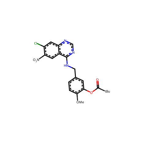 COc1ccc(CNc2ncnc3cc(Cl)c([N+](=O)[O-])cc23)cc1OC(=O)C(C)(C)C